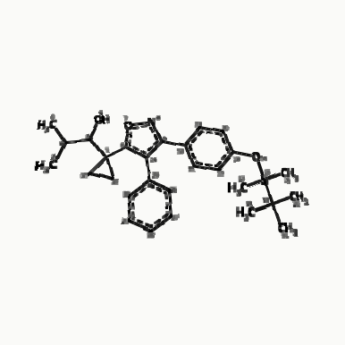 CC(C)C(O)C1(c2onc(-c3ccc(O[Si](C)(C)C(C)(C)C)cc3)c2-c2ccccc2)CC1